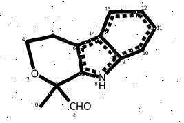 CC1(C=O)OCCc2c1[nH]c1ccccc21